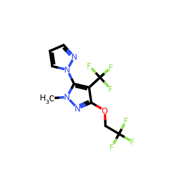 Cn1nc(OCC(F)(F)F)c(C(F)(F)F)c1-n1cccn1